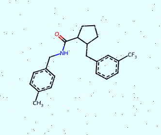 Cc1ccc(CNC(=O)C2CCCC2Cc2cccc(C(F)(F)F)c2)cc1